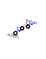 Cc1c(NC=N)cccc1Oc1ccc(CNC2CCC(C)(C)CC2)cc1